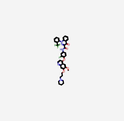 COc1cc2c(Oc3ccc(NC(=O)c4nn(-c5ccccc5C(F)(F)F)c5ccccc5c4=O)cc3F)ccnc2cc1OCCCN1CCCCC1